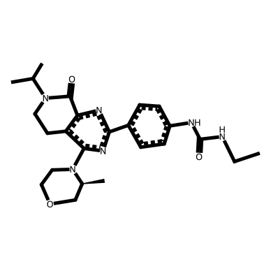 CCNC(=O)Nc1ccc(-c2nc3c(c(N4CCOC[C@@H]4C)n2)CCN(C(C)C)C3=O)cc1